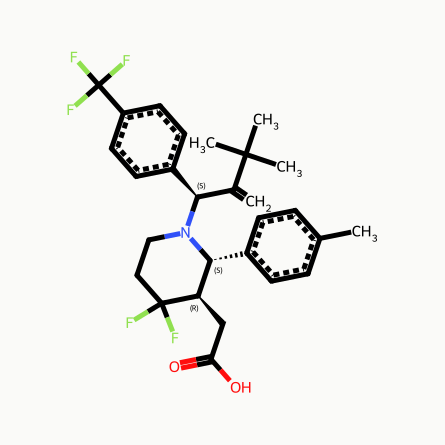 C=C([C@H](c1ccc(C(F)(F)F)cc1)N1CCC(F)(F)[C@H](CC(=O)O)[C@H]1c1ccc(C)cc1)C(C)(C)C